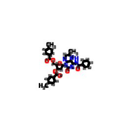 Cc1ccc(C(=O)OC[C@H]2O[C@@H](n3c(=O)nc(NC(=O)c4ccccc4)c4nc(C)cnc43)C[C@@H]2OC(=O)c2ccc(C)cc2)cc1